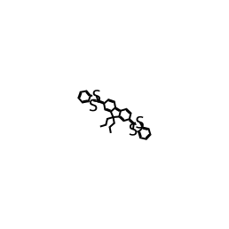 CCCC1(CCC)c2cc(=C3Sc4ccccc4S3)ccc2=c2ccc(=C3Sc4ccccc4S3)cc21